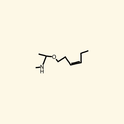 CC/C=C\CCOC(C)NC